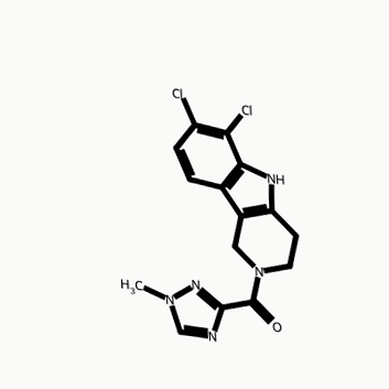 Cn1cnc(C(=O)N2CCc3[nH]c4c(Cl)c(Cl)ccc4c3C2)n1